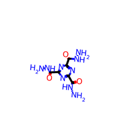 NNC(=O)c1nc(C(=O)NN)nc(C(=O)NN)n1